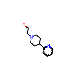 O=CCN1CCC(c2ccccn2)CC1